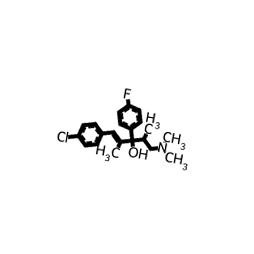 C/C(=C\c1ccc(Cl)cc1)C(O)(c1ccc(F)cc1)C(C)CN(C)C